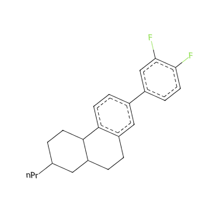 CCCC1CCC2c3ccc(-c4ccc(F)c(F)c4)cc3CCC2C1